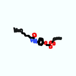 COCCCCCC(=O)Nc1ccc(OCC(=O)OC(=O)OC)cc1